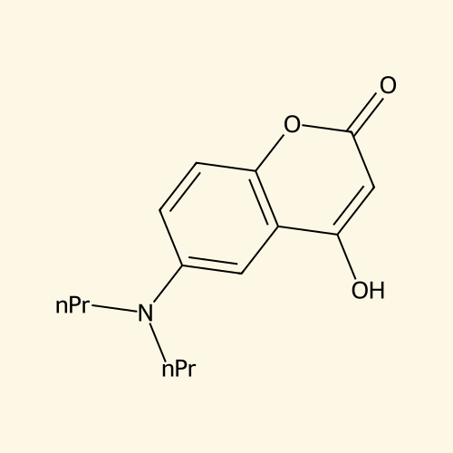 CCCN(CCC)c1ccc2oc(=O)cc(O)c2c1